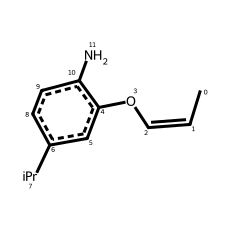 C/C=C\Oc1cc(C(C)C)ccc1N